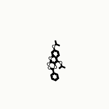 CC(C)Oc1ccc2c(OC(C)C)c(OC(=O)c3ccccc3)c(=O)oc2c1